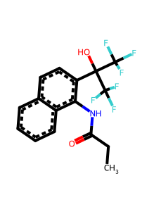 CCC(=O)Nc1c(C(O)(C(F)(F)F)C(F)(F)F)ccc2ccccc12